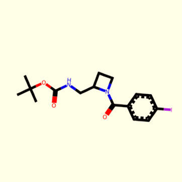 CC(C)(C)OC(=O)NCC1CCN1C(=O)c1ccc(I)cc1